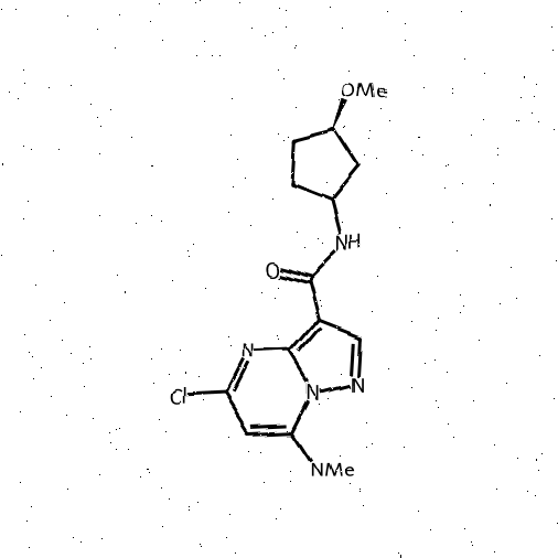 CNc1cc(Cl)nc2c(C(=O)NC3CC[C@@H](OC)C3)cnn12